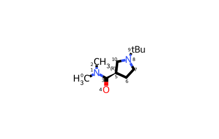 CN(C)C(=O)[C@@H]1CCN(C(C)(C)C)C1